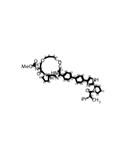 COC(=O)N[C@H]1COCCCCOCc2[nH]c(nc2-c2ccc(-c3ccc(-c4c[nH]c([C@@H]5CCCN5C(=O)[C@@H](C)C(C)C)n4)cc3)cc2)[C@@H]2CCCN2C1=O